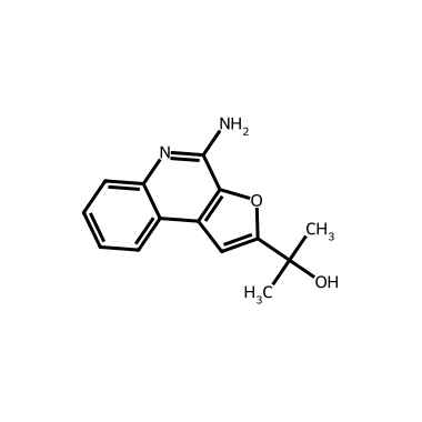 CC(C)(O)c1cc2c(o1)c(N)nc1ccccc12